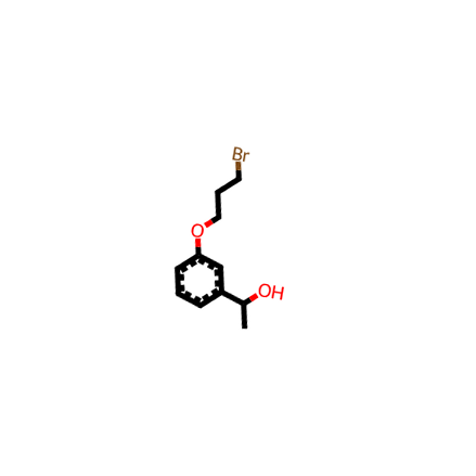 CC(O)c1cccc(OCCCBr)c1